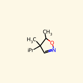 CC(C)C1(C)C=NOC1C